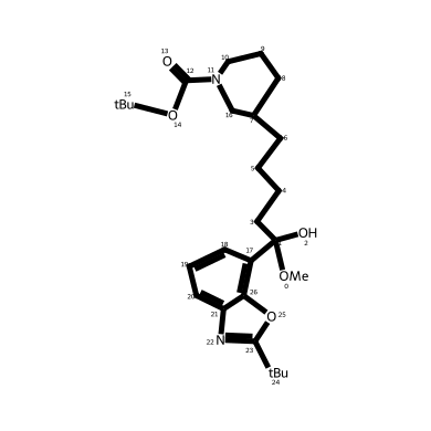 COC(O)(CCCCC1CCCN(C(=O)OC(C)(C)C)C1)c1cccc2nc(C(C)(C)C)oc12